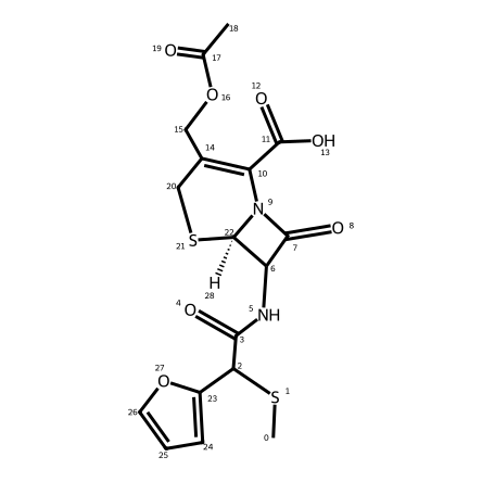 CSC(C(=O)NC1C(=O)N2C(C(=O)O)=C(COC(C)=O)CS[C@H]12)c1ccco1